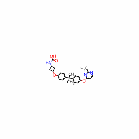 Cc1nccc(Oc2ccc(C(C)(C)c3ccc(OC4CC(NC(=O)O)C4)cc3)cc2)n1